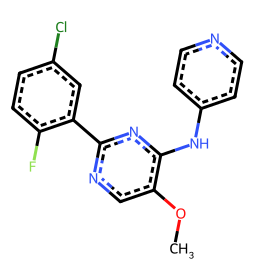 COc1cnc(-c2cc(Cl)ccc2F)nc1Nc1ccncc1